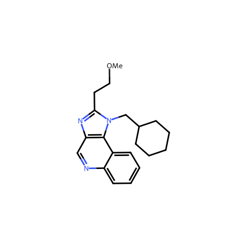 COCCc1nc2cnc3ccccc3c2n1CC1CCCCC1